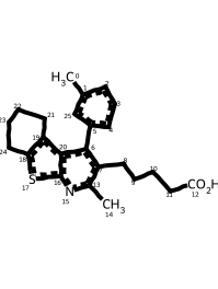 Cc1cccc(-c2c(CCCCC(=O)O)c(C)nc3sc4c(c23)CCCC4)c1